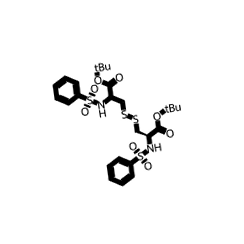 CC(C)(C)OC(=O)C(CSSC[C@H](NS(=O)(=O)c1ccccc1)C(=O)OC(C)(C)C)NS(=O)(=O)c1ccccc1